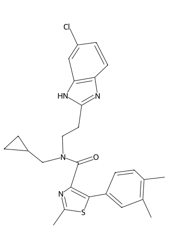 Cc1nc(C(=O)N(CCc2nc3ccc(Cl)cc3[nH]2)CC2CC2)c(-c2ccc(C)c(C)c2)s1